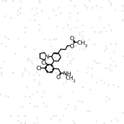 CNC(=O)Cc1ccc(Cl)c(Cl)c1C1CCC(CCCOC(C)=O)=CC1N1CCCC1